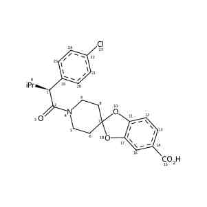 CC(C)[C@H](C(=O)N1CCC2(CC1)Oc1ccc(C(=O)O)cc1O2)c1ccc(Cl)cc1